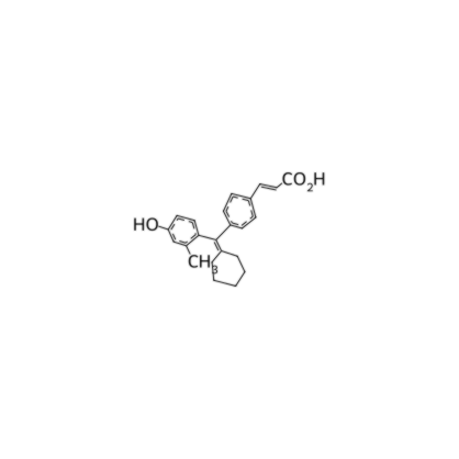 Cc1cc(O)ccc1C(=C1CCCCC1)c1ccc(/C=C/C(=O)O)cc1